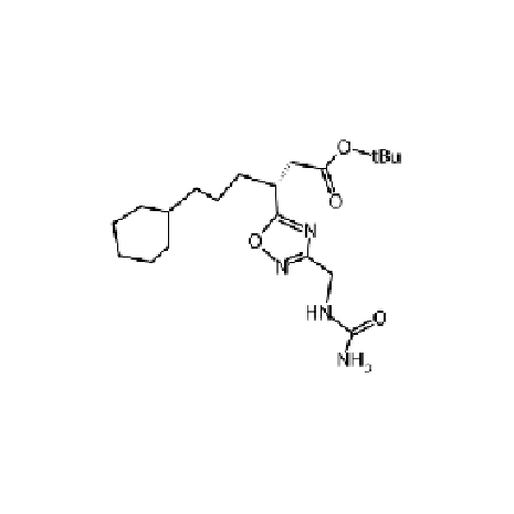 CC(C)(C)OC(=O)C[C@@H](CCCC1CCCCC1)c1nc(CNC(N)=O)no1